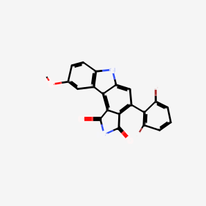 COc1ccc2[nH]c3cc(-c4c(Br)cccc4Br)c4c(c3c2c1)C(=O)NC4=O